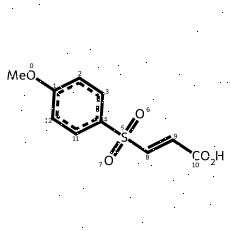 COc1ccc(S(=O)(=O)C=CC(=O)O)cc1